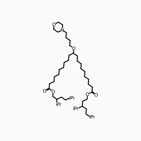 CC(C)CCC(CCOC(=O)CCCCCCCCCC(CCCCCCCCCC(=O)OCC(CCC(C)C)C(C)C)OCCCCN1CCOCC1)C(C)C